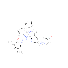 Cc1ccccc1C1=CC=CC(Nc2nccc3cc(CN4CCC(O)C4)cnc23)(c2nc3cc(C=O)cc(C#N)c3o2)[C@@H]1C